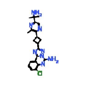 Cc1nc(C(C)(C)N)cnc1C1CC(c2nc3c4cccc(Cl)c4nc(N)n3n2)C1